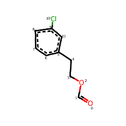 O=CO[CH]Cc1cccc(Cl)c1